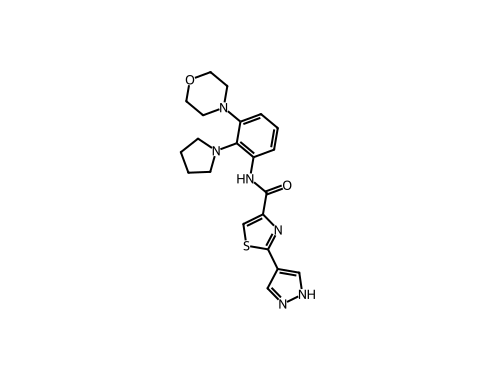 O=C(Nc1cccc(N2CCOCC2)c1N1CCCC1)c1csc(-c2cn[nH]c2)n1